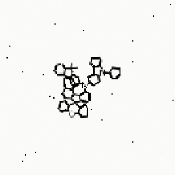 CC1(C)c2ccccc2-c2ccc(N(c3ccc4c(c3)c3ccccc3n4-c3ccccc3)c3cccc4c3-c3c(ccc5ccccc35)C43c4ccccc4Oc4ccccc43)cc21